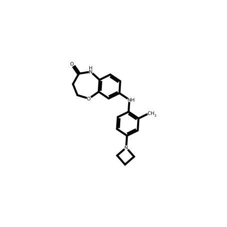 Cc1cc(N2CCC2)ccc1Nc1ccc2c(c1)OCCC(=O)N2